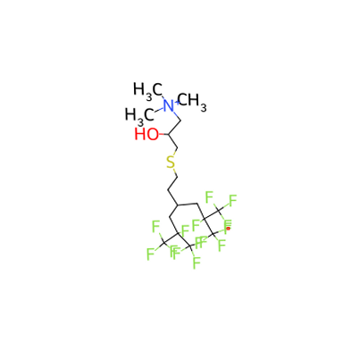 C[N+](C)(C)CC(O)CSCCC(CC(F)(C(F)(F)F)C(F)(F)F)CC(F)(C(F)(F)F)C(F)(F)F